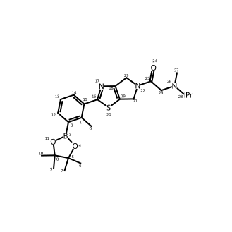 Cc1c(B2OC(C)(C)C(C)(C)O2)cccc1-c1nc2c(s1)CN(C(=O)CN(C)C(C)C)C2